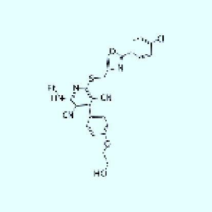 [C-]#[N+]c1c(NCC)nc(SCc2coc(-c3ccc(Cl)cc3)n2)c(C#N)c1-c1ccc(OCCO)cc1